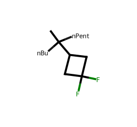 CCCCCC(C)(CCCC)C1CC(F)(F)C1